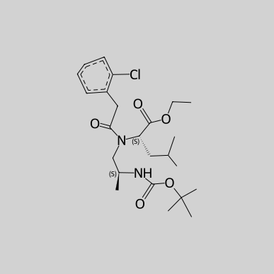 CCOC(=O)[C@H](CC(C)C)N(C[C@H](C)NC(=O)OC(C)(C)C)C(=O)Cc1ccccc1Cl